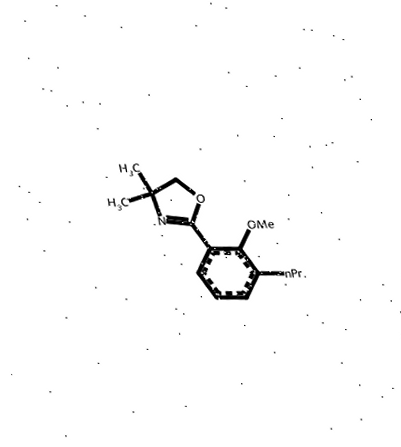 CCCc1cccc(C2=NC(C)(C)CO2)c1OC